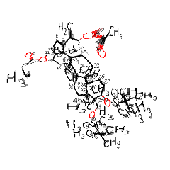 C=C(COC(C)=O)[C@@H]1CC[C@]2(COC(C)=O)CC[C@]3(C)[C@H](CC[C@@H]4[C@@]5(C)CCC(O[Si](C)(C)C(C)(C)C)C(C)(CO[Si](C)(C)C(C)(C)C)[C@@H]5CC[C@]43C)[C@@H]12